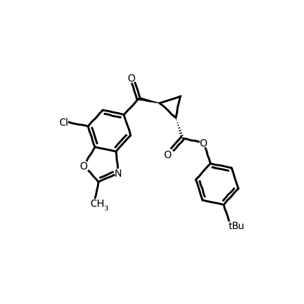 Cc1nc2cc(C(=O)[C@H]3C[C@@H]3C(=O)Oc3ccc(C(C)(C)C)cc3)cc(Cl)c2o1